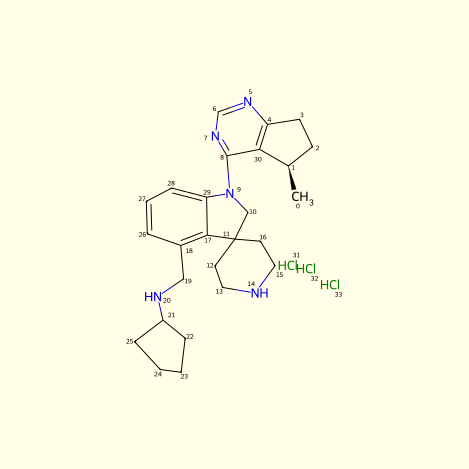 C[C@@H]1CCc2ncnc(N3CC4(CCNCC4)c4c(CNC5CCCC5)cccc43)c21.Cl.Cl.Cl